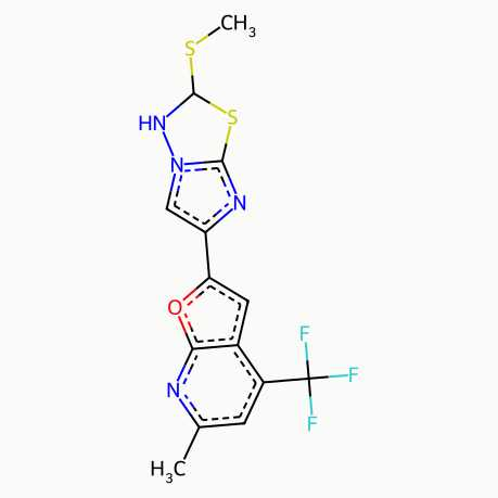 CSC1Nn2cc(-c3cc4c(C(F)(F)F)cc(C)nc4o3)nc2S1